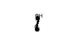 Oc1ccc(C=CCCCOc2ccccc2)cc1